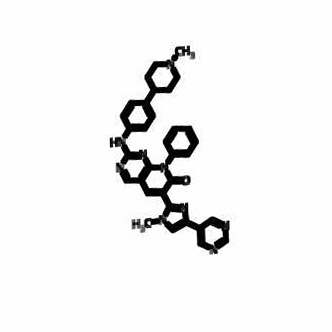 CN1CCC(c2ccc(Nc3ncc4cc(-c5nc(-c6cncnc6)cn5C)c(=O)n(-c5ccccc5)c4n3)cc2)CC1